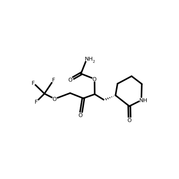 NC(=O)OC(C[C@@H]1CCCNC1=O)C(=O)COC(F)(F)F